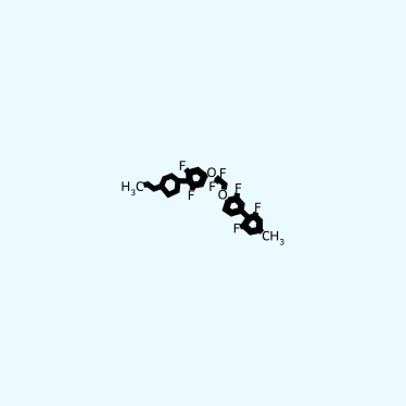 CCCC1CCC(c2c(F)cc(OC(F)(F)COc3ccc(-c4c(F)cc(C)cc4F)cc3F)cc2F)CC1